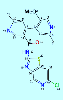 COc1cnc(C)cc1-c1cc(C)ncc1C(=O)Nc1nc2cnc(Cl)cc2s1